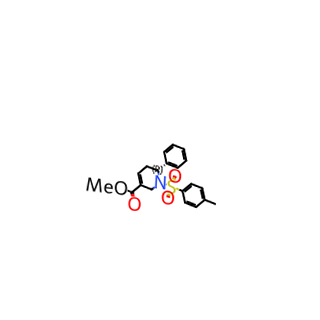 COC(=O)C1=CC[C@H](c2ccccc2)N(S(=O)(=O)c2ccc(C)cc2)C1